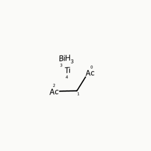 CC(=O)CC(C)=O.[BiH3].[Ti]